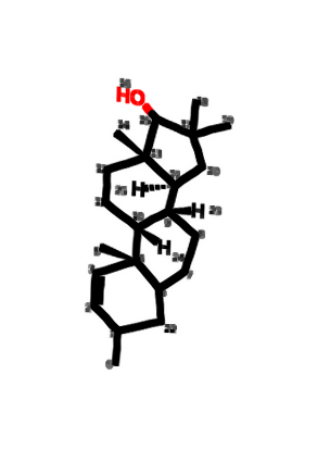 CC1C=C[C@@]2(C)C(CC[C@@H]3[C@H]2CC[C@]2(C)C(O)C(C)(C)C[C@@H]32)C1